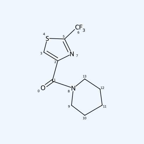 O=C(c1csc(C(F)(F)F)n1)N1CCCCC1